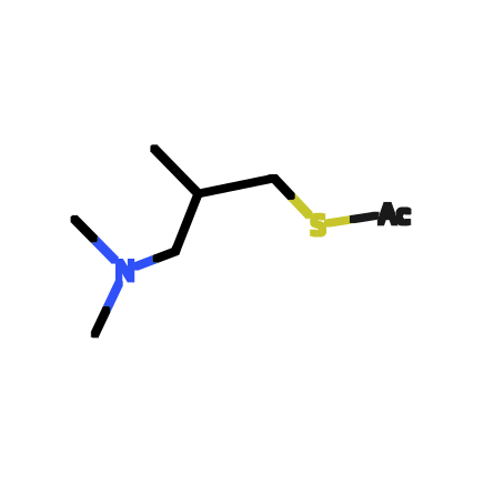 CC(=O)SCC(C)CN(C)C